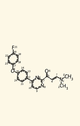 CN(C)C=CC(=O)c1nccc(-c2ccc(Oc3ccc(F)cc3)cc2)n1